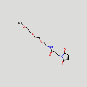 CCCOCCOCCOCCNC(=O)CCN1C(=O)C=CC1=O